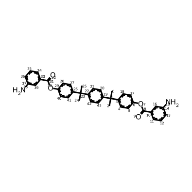 CC(C)(c1ccc(OC(=O)c2cccc(N)c2)cc1)c1ccc(C(C)(C)c2ccc(OC(=O)c3cccc(N)c3)cc2)cc1